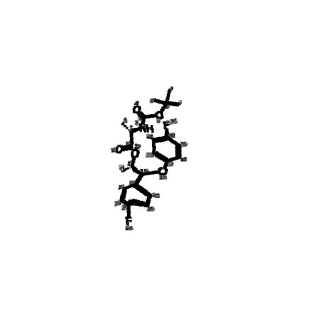 C[C@H](NC(=O)OC(C)(C)C)C(=O)O[C@@H](C)C(Oc1ccc(F)cc1)c1ccc(F)cc1